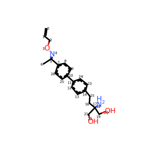 C=CCO/N=C(\C)c1ccc(-c2ccc(CCC(N)(CO)CO)cc2)cc1